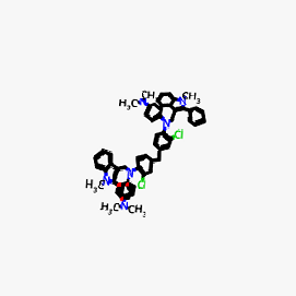 CN(C)c1ccc(N(Cc2c(-c3ccccc3)n(C)c3ccccc23)c2ccc(Cc3ccc(N(Cc4c(-c5ccccc5)n(C)c5ccccc45)c4ccc(N(C)C)cc4)c(Cl)c3)cc2Cl)cc1